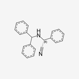 N#C[C@H](NC(c1ccccc1)c1ccccc1)c1ccccc1